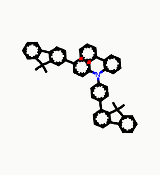 CC1(C)c2ccccc2-c2ccc(-c3ccc(N(c4ccc(-c5cccc6c5C(C)(C)c5ccccc5-6)cc4)c4ccccc4-c4ccccc4)cc3)cc21